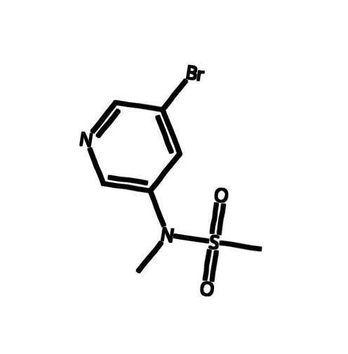 CN(c1cncc(Br)c1)S(C)(=O)=O